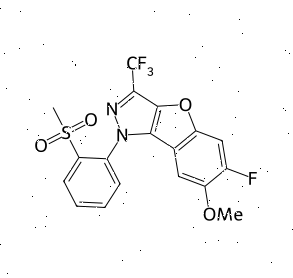 COc1cc2c(cc1F)oc1c(C(F)(F)F)nn(-c3ccccc3S(C)(=O)=O)c12